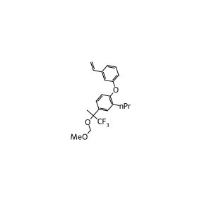 C=Cc1cccc(Oc2ccc(C(C)(OCOC)C(F)(F)F)cc2CCC)c1